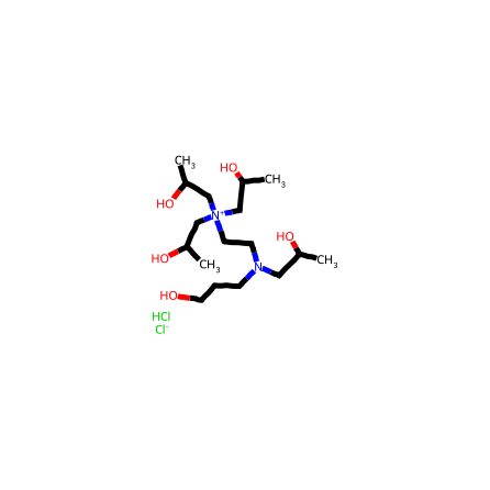 CC(O)CN(CCCO)CC[N+](CC(C)O)(CC(C)O)CC(C)O.Cl.[Cl-]